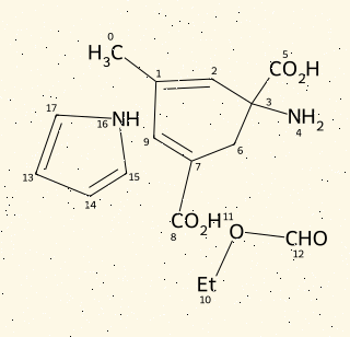 CC1=CC(N)(C(=O)O)CC(C(=O)O)=C1.CCOC=O.c1cc[nH]c1